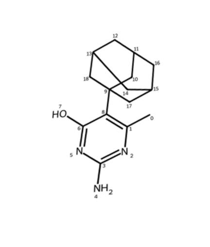 Cc1nc(N)nc(O)c1C12CC3CC(CC(C3)C1)C2